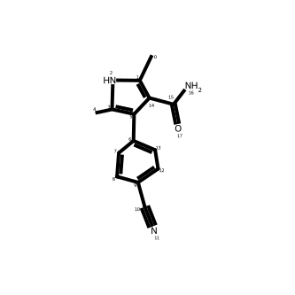 Cc1[nH]c(C)c(-c2ccc(C#N)cc2)c1C(N)=O